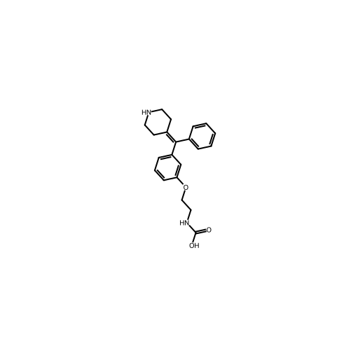 O=C(O)NCCOc1cccc(C(=C2CCNCC2)c2ccccc2)c1